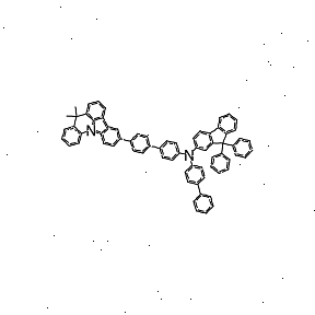 CC1(C)c2ccccc2-n2c3ccc(-c4ccc(-c5ccc(N(c6ccc(-c7ccccc7)cc6)c6ccc7c(c6)C(c6ccccc6)(c6ccccc6)c6ccccc6-7)cc5)cc4)cc3c3cccc1c32